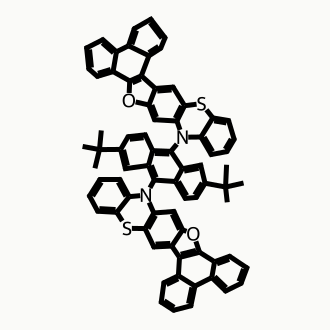 CC(C)(C)c1ccc2c(N3c4ccccc4Sc4cc5c(cc43)oc3c4ccccc4c4ccccc4c53)c3cc(C(C)(C)C)ccc3c(N3c4ccccc4Sc4cc5c(cc43)oc3c4ccccc4c4ccccc4c53)c2c1